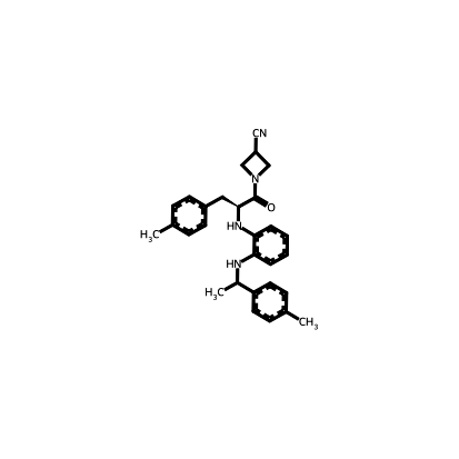 Cc1ccc(C[C@H](Nc2ccccc2NC(C)c2ccc(C)cc2)C(=O)N2CC(C#N)C2)cc1